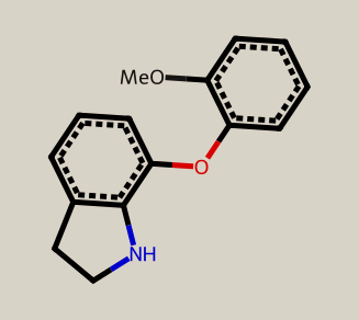 COc1ccccc1Oc1cccc2c1NCC2